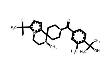 Cc1cc(C(=O)N2CCC3(CC2)c2ccc(C(F)(F)C(F)(F)F)n2CCN3C)ccc1C(C)(C)O